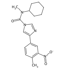 Cc1ccc(-c2cn(C(=O)N(C)C3CCCCC3)cn2)cc1[N+](=O)[O-]